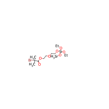 CCO[Si](O[SiH3])(OCC)OCCOCCOC(=O)C(C)(C)Br